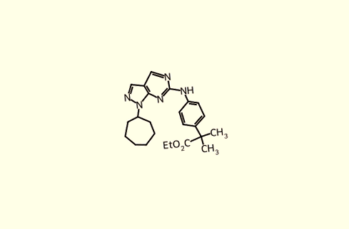 CCOC(=O)C(C)(C)c1ccc(Nc2ncc3cnn(C4CCCCCC4)c3n2)cc1